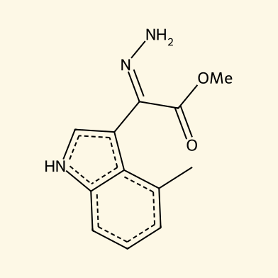 COC(=O)/C(=N\N)c1c[nH]c2cccc(C)c12